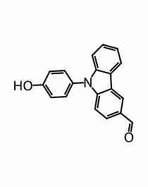 O=Cc1ccc2c(c1)c1ccccc1n2-c1ccc(O)cc1